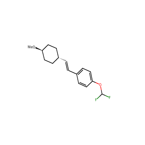 CO[C@H]1CC[C@H](C=Cc2ccc(OC(F)F)cc2)CC1